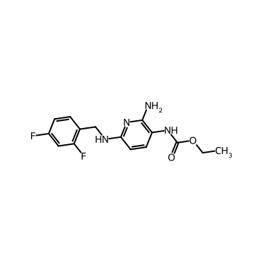 CCOC(=O)Nc1ccc(NCc2ccc(F)cc2F)nc1N